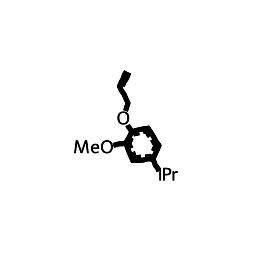 C=CCOc1ccc(C(C)C)cc1OC